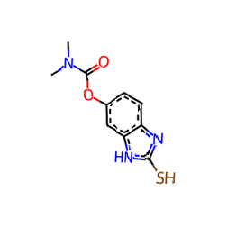 CN(C)C(=O)Oc1ccc2nc(S)[nH]c2c1